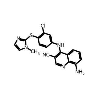 Cn1ccnc1Sc1ccc(Nc2c(C#N)cnc3c(N)cccc23)cc1Cl